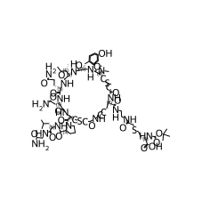 CC[C@H](C)[C@@H]1NC(=O)[C@H](Cc2ccc(O)cc2)NC(=O)[C@@H](N(C)C)CSCC(=O)N[C@@H](C(=O)NCCNC(=O)CSCC[C@H](NC(=O)OC(C)(C)C)C(=O)O)CCCNC(=O)CSC[C@@H](C(=O)N2CCC[C@H]2C(=O)N[C@@H](CC(C)C)C(=O)NCC(N)=O)NC(=O)[C@H](CC(N)=O)NC(=O)[C@H](CCC(N)=O)NC1=O